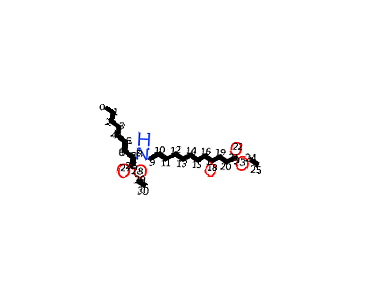 CCCCCCCC(NCCCCCCCCC(=O)CCC(=O)OCC)C(=O)OCC